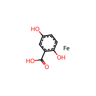 O=C(O)c1cc(O)ccc1O.[Fe]